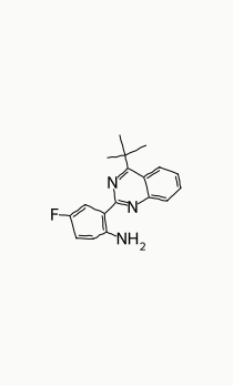 CC(C)(C)c1nc(-c2cc(F)ccc2N)nc2ccccc12